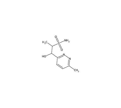 Cc1ccc(C(O)C(C)S(N)(=O)=O)nn1